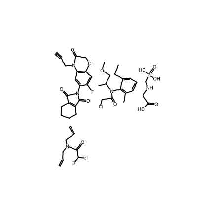 C#CCN1C(=O)COc2cc(F)c(N3C(=O)C4=C(CCCC4)C3=O)cc21.C=CCN(CC=C)C(=O)C(Cl)Cl.CCc1cccc(C)c1N(C(=O)CCl)C(C)COC.O=C(O)CNCP(=O)(O)O